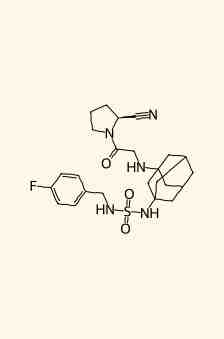 N#C[C@@H]1CCCN1C(=O)CNC12CC3CC(C1)CC(NS(=O)(=O)NCc1ccc(F)cc1)(C3)C2